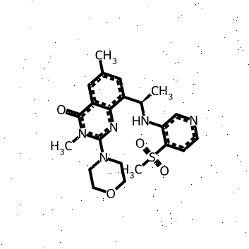 Cc1cc([C@@H](C)Nc2cnccc2S(C)(=O)=O)c2nc(N3CCOCC3)n(C)c(=O)c2c1